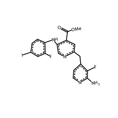 COC(=O)c1cc(Cc2ccnc(N)c2F)ncc1Nc1ccc(I)cc1F